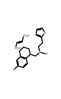 CC(C)N(CCc1ccco1)CC1CCCc2cc(F)ccc21.O=C(O)/C=C/C(=O)O